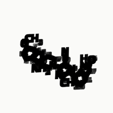 COc1ccc2c(c1)CC1(CCN(c3nc(C)c(-c4cccc5c4NC(=O)C5)nc3C#N)CC1)[C@@H]2N